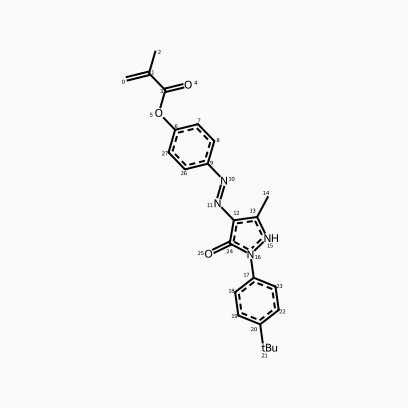 C=C(C)C(=O)Oc1ccc(/N=N/c2c(C)[nH]n(-c3ccc(C(C)(C)C)cc3)c2=O)cc1